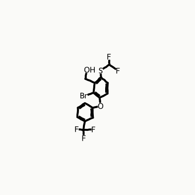 OCc1c(SC(F)F)ccc(Oc2cccc(C(F)(F)F)c2)c1Br